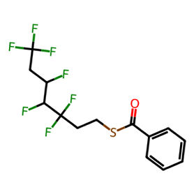 O=C(SCCC(F)(F)C(F)C(F)CC(F)(F)F)c1ccccc1